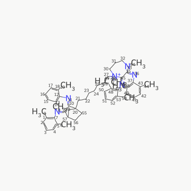 Cc1cccc(C)c1N=C1C(=Nc2c(C)cccc2C)C2(CCCCCCC[N+]3(C)CCCN(C)C(=Nc4c(C)cccc4C)C3=Nc3c(C)cccc3C)CCC1C2